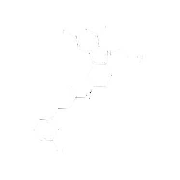 Cc1cccc(CCC(=O)N[C@@H]2CCc3c(c4cc(F)cc(Cl)c4n3CC(=O)O)C2)c1